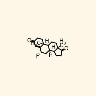 C[C@]12CCC(=O)C=C1[C@@H](F)C[C@@H]1[C@@H]2CC[C@]2(C)C(=O)CC[C@@H]12